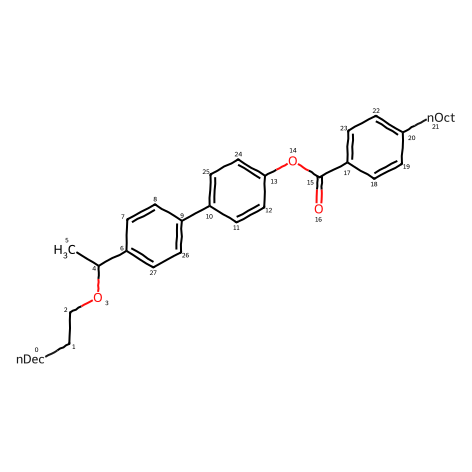 CCCCCCCCCCCCOC(C)c1ccc(-c2ccc(OC(=O)c3ccc(CCCCCCCC)cc3)cc2)cc1